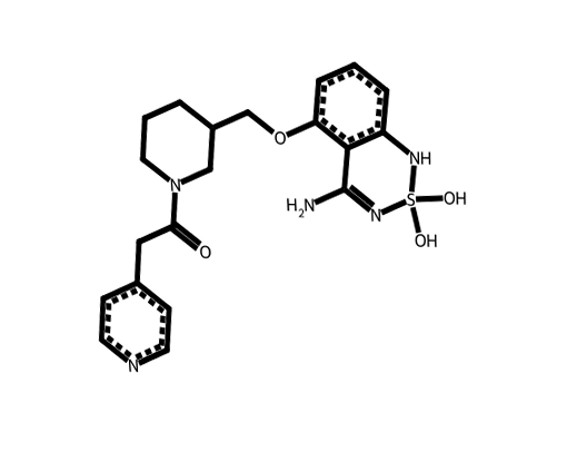 NC1=NS(O)(O)Nc2cccc(OCC3CCCN(C(=O)Cc4ccncc4)C3)c21